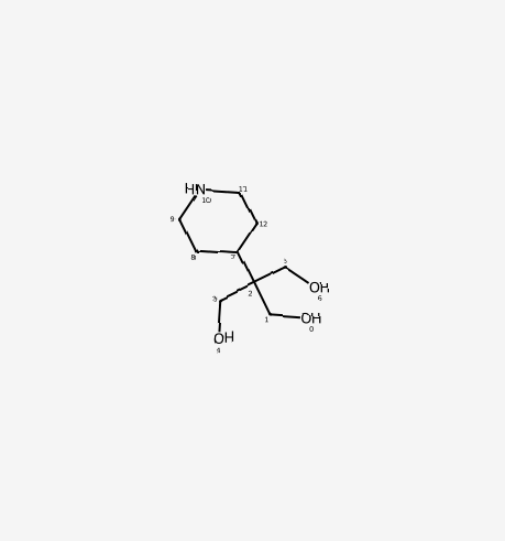 OCC(CO)(CO)C1CCNCC1